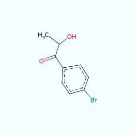 CC(O)C(=O)c1ccc(Br)cc1